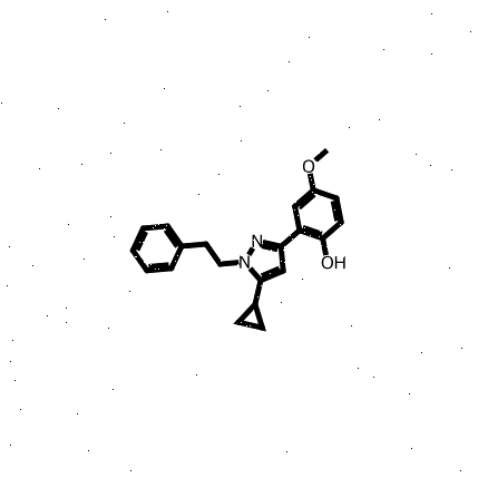 COc1ccc(O)c(-c2cc(C3CC3)n(CCc3ccccc3)n2)c1